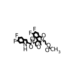 CC(=O)OCCn1c2c(c3cc(F)c(F)cc3c1=O)[C@H](N(C)C(=O)c1cc3cc(F)c(F)cc3[nH]1)COC2